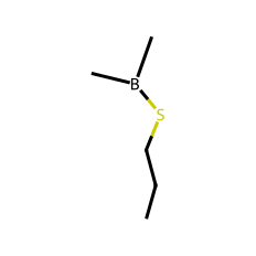 CCCSB(C)C